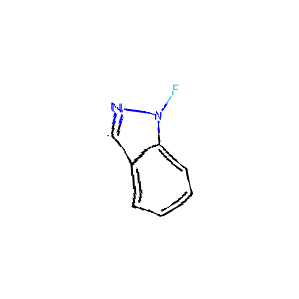 Fn1n[c]c2ccccc21